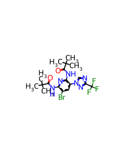 CC(C)(C)C(=O)Nc1nc(NC(=O)C(C)(C)C)c(-n2cnc(C(F)(F)F)n2)cc1Br